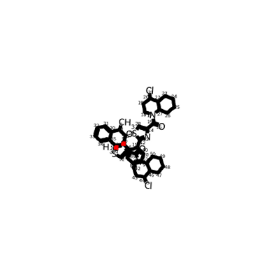 CC(C(=O)C(C)c1ccccc1-c1nc(C(=O)N2CCC(Cl)C3CCCCC32)cs1)c1ccccc1-c1nc(C(=O)N2CCC(Cl)C3CCCCC32)cs1